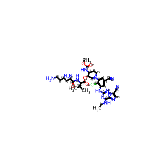 CCNc1nc(Nc2cc(C#N)cc(N3CCC(NC(=O)OC)C(OC(=O)C(NC(=O)[C@@H](N)CCCCN)C(C)C)C3)c2Cl)nn2c(C#N)cnc12